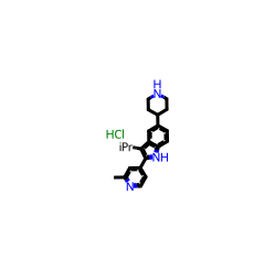 Cc1cc(-c2[nH]c3ccc(C4CCNCC4)cc3c2C(C)C)ccn1.Cl